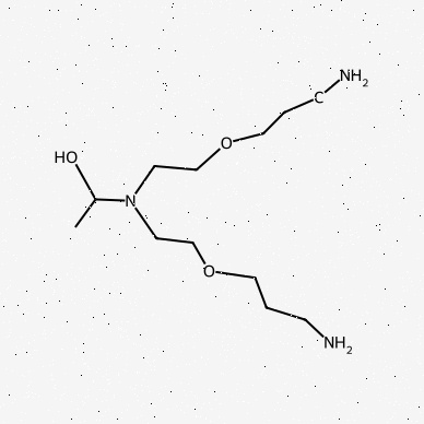 CC(O)N(CCOCCCN)CCOCCCN